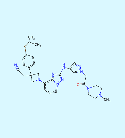 CC(C)Sc1ccc(C2(CC#N)CN(c3cccn4nc(Nc5cnn(CC(=O)N6CCN(C)CC6)c5)nc34)C2)cc1